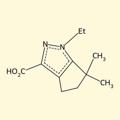 CCn1nc(C(=O)O)c2c1C(C)(C)CC2